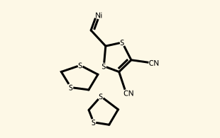 C1CSCS1.C1CSCS1.N#CC1=C(C#N)SC([CH]=[Ni])S1